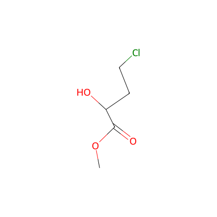 COC(=O)C(O)CCCl